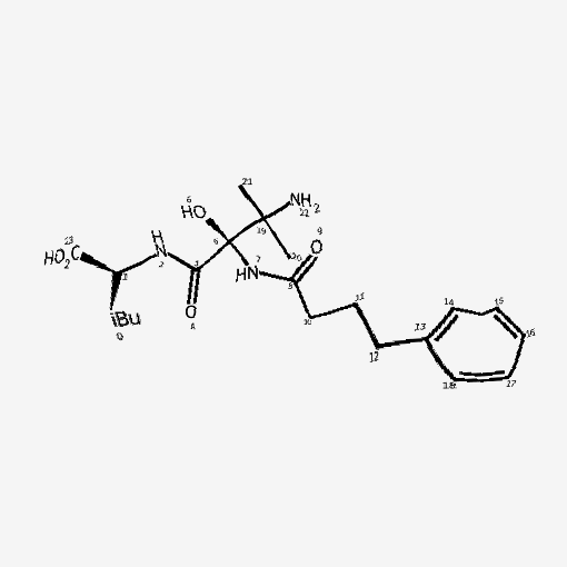 CC[C@H](C)[C@H](NC(=O)[C@@](O)(NC(=O)CCCc1ccccc1)C(C)(C)N)C(=O)O